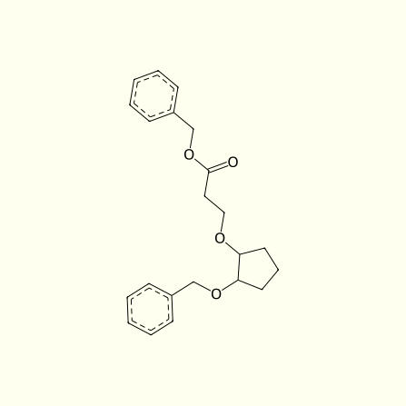 O=C(CCOC1CCCC1OCc1ccccc1)OCc1ccccc1